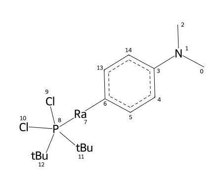 CN(C)c1cc[c]([Ra][P](Cl)(Cl)(C(C)(C)C)C(C)(C)C)cc1